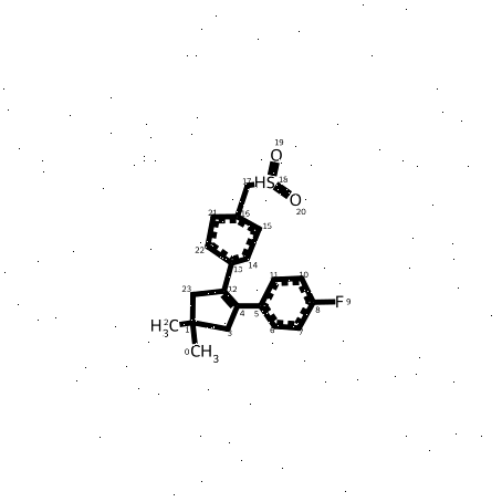 CC1(C)CC(c2ccc(F)cc2)=C(c2ccc(C[SH](=O)=O)cc2)C1